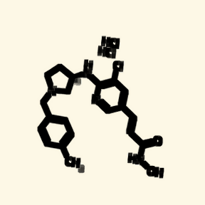 Cc1ccc(CN2CC[C@@H](Nc3ncc(C=CC(=O)NO)cc3Cl)C2)cc1.Cl.Cl